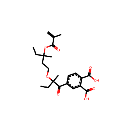 C=C(C)C(=O)OC(C)(CC)CCOC(C)(CC)C(=O)c1ccc(C(=O)O)c(C(=O)O)c1